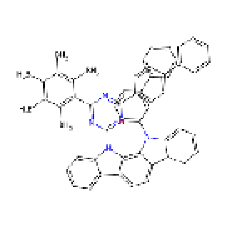 Bc1c(B)c(B)c(-c2nc(-c3ccc(-c4ccccc4)cc3)nc(-n3c4ccccc4c4ccc5c(c43)N(c3cccc(-c4ccccc4)c3)C3=CC=CCC35)n2)c(B)c1B